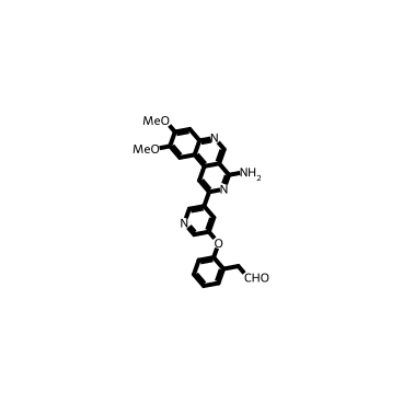 COc1cc2ncc3c(N)nc(-c4cncc(Oc5ccccc5CC=O)c4)cc3c2cc1OC